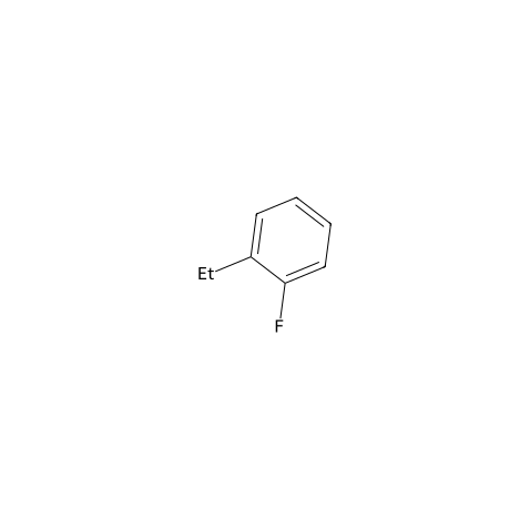 CCc1ccccc1F